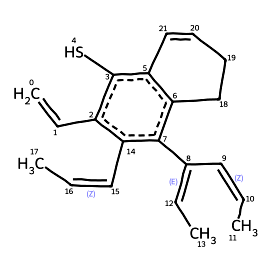 C=Cc1c(S)c2c(c(C(/C=C\C)=C/C)c1/C=C\C)CCC=C2